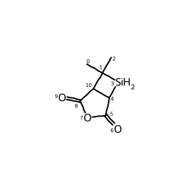 CC1(C)[SiH2]C2C(=O)OC(=O)C21